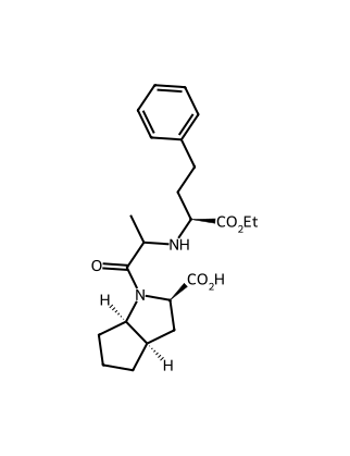 CCOC(=O)[C@H](CCc1ccccc1)NC(C)C(=O)N1[C@@H](C(=O)O)C[C@H]2CCC[C@H]21